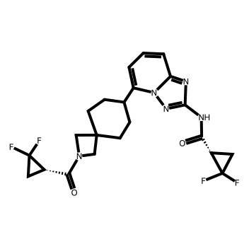 O=C(Nc1nc2cccc(C3CCC4(CC3)CN(C(=O)[C@@H]3CC3(F)F)C4)n2n1)[C@@H]1CC1(F)F